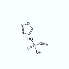 COP(=O)(O)O.c1conn1